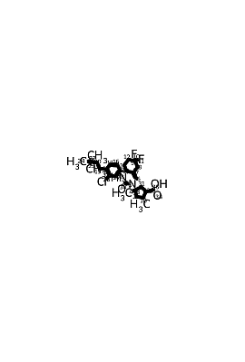 CC1CC(C)(N2C=C3CC(F)(F)CC[C@@]3(c3ccc(CCC(C)(C)C)c(Cl)c3)NC2=O)CC1C(=O)O